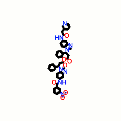 O=C(Cc1cccnc1)Nc1ccc2c(c1)ncn2C(CC(=O)OC(=O)CC(c1ccccc1)n1cnc2cc(NC(=O)c3cccc([N+](=O)[O-])c3)ccc21)c1ccccc1